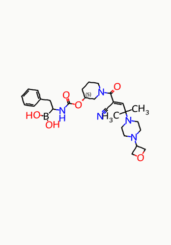 CC(C)(C=C(C#N)C(=O)N1CCC[C@H](OC(=O)NC(Cc2ccccc2)B(O)O)C1)N1CCN(C2COC2)CC1